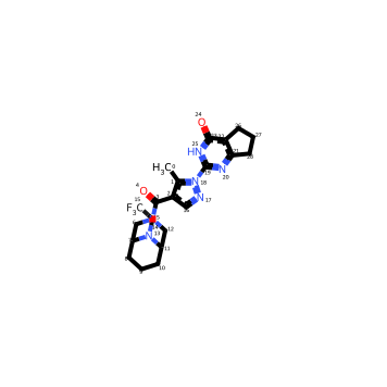 Cc1c(C(=O)N2CC3CCCC(C2)N3CC(F)(F)F)cnn1-c1nc2c(c(=O)[nH]1)CCC2